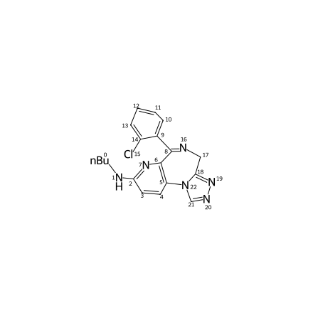 CCCCNc1ccc2c(n1)C(c1ccccc1Cl)=NCc1nncn1-2